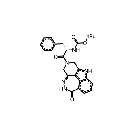 CC(C)(C)OC(=O)N[C@@H](Cc1ccccc1)C(=O)N1CC2=NNC(=O)c3cccc4[nH]c(c2c34)C1